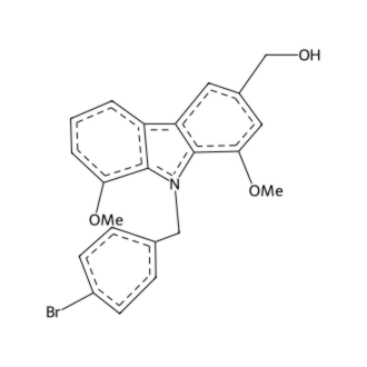 COc1cccc2c3cc(CO)cc(OC)c3n(Cc3ccc(Br)cc3)c12